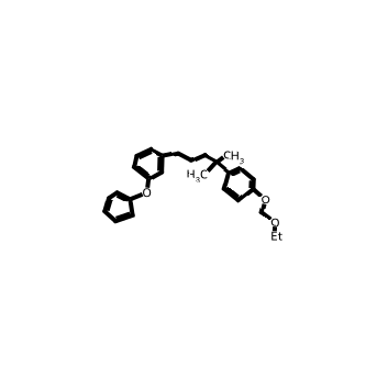 CCOCOc1ccc(C(C)(C)CCCc2cccc(Oc3ccccc3)c2)cc1